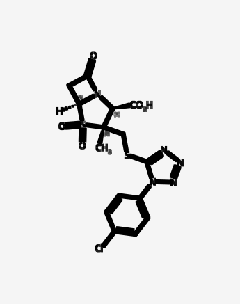 C[C@]1(CSc2nnnn2-c2ccc(Cl)cc2)[C@H](C(=O)O)N2C(=O)C[C@@H]2S1(=O)=O